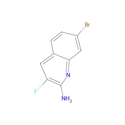 Nc1nc2cc(Br)ccc2cc1F